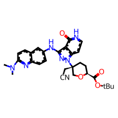 CN(C)c1ccc2cc(Nc3nn([C@]4(CC#N)CC[C@@H](C(=O)OC(C)(C)C)OC4)c4cc[nH]c(=O)c34)ccc2n1